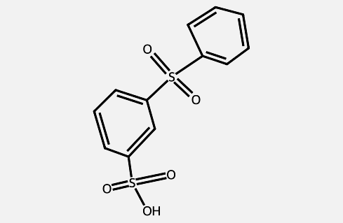 O=S(=O)(O)c1cccc(S(=O)(=O)c2ccccc2)c1